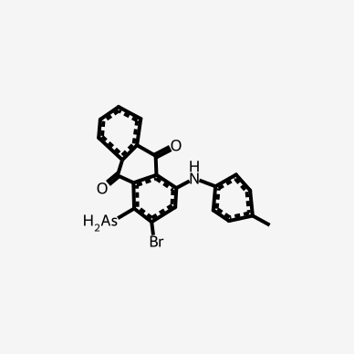 Cc1ccc(Nc2cc(Br)c([AsH2])c3c2C(=O)c2ccccc2C3=O)cc1